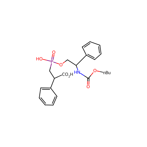 CCCCOC(=O)NC(COP(=O)(O)CC(C(=O)O)c1ccccc1)c1ccccc1